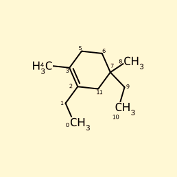 CCC1=C(C)CCC(C)(CC)C1